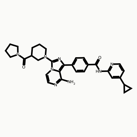 Nc1nccn2c(N3CCCC(C(=O)N4CCCC4)C3)nc(-c3ccc(C(=O)Nc4cc(C5CC5)ccn4)cc3)c12